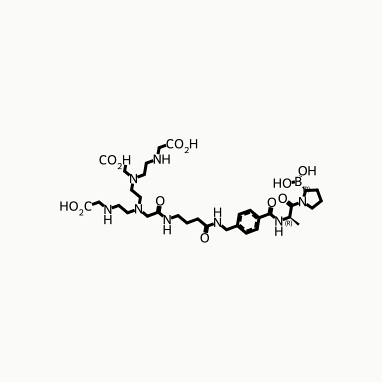 C[C@@H](NC(=O)c1ccc(CNC(=O)CCCNC(=O)CN(CCNCC(=O)O)CCN(CCNCC(=O)O)CC(=O)O)cc1)C(=O)N1CCC[C@H]1B(O)O